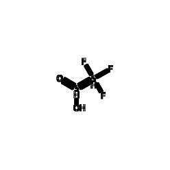 O=[SH](O)=[SH](F)(F)F